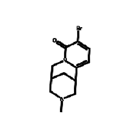 CN1CC2CC(C1)c1ccc(Br)c(=O)n1C2